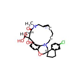 C[C@H]1C(=O)N(C)C/C=C/CCCCN2C[C@@]3(CCCc4cc(Cl)ccc43)COc3ccc(cc32)[C@@]1(O)C(=O)O